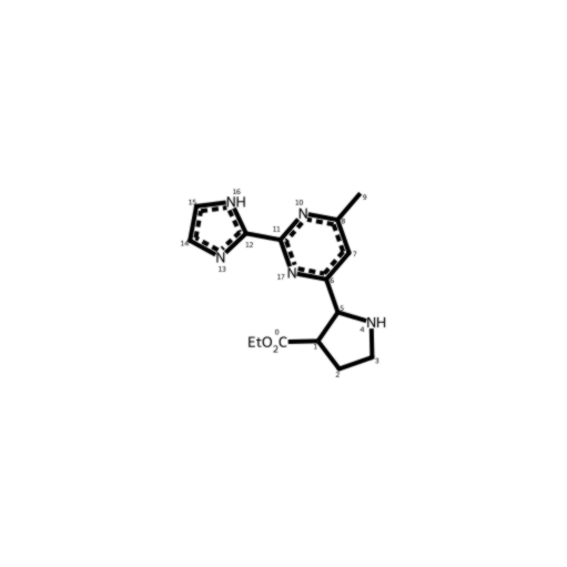 CCOC(=O)C1CCNC1c1cc(C)nc(-c2ncc[nH]2)n1